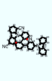 N#Cc1ccc2c(c1)c1cccc(C#N)c1n2-c1ccccc1-c1ccccc1-c1ccc(-n2c3ccccc3c3ccccc32)cc1C#N